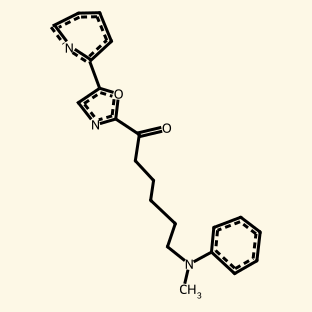 CN(CCCCCC(=O)c1ncc(-c2ccccn2)o1)c1ccccc1